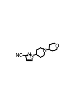 N#Cc1ccn(C2CCN(C3CCOCC3)CC2)n1